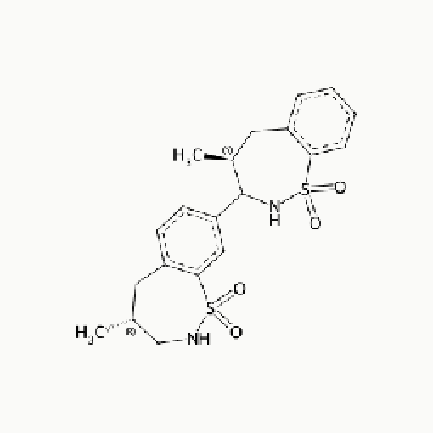 C[C@H]1CNS(=O)(=O)c2cc(C3NS(=O)(=O)c4ccccc4C[C@@H]3C)ccc2C1